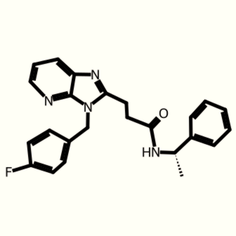 C[C@H](NC(=O)CCc1nc2cccnc2n1Cc1ccc(F)cc1)c1ccccc1